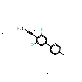 Cc1ccc(-c2cc(F)c(C#CC(F)(F)F)c(F)c2)cc1